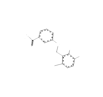 NC(=O)c1cccc(OCc2c(F)ccc(F)c2Cl)c1